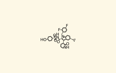 O=C(NS(=O)(=O)c1ccc(O)cc1)c1c(-c2ccc[nH]c2=O)c2cc(C3CC3)ccc2n1Cc1ccc(F)cc1F